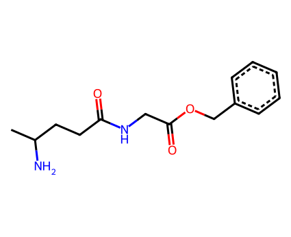 CC(N)CCC(=O)NCC(=O)OCc1ccccc1